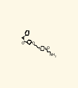 NCCC(=O)N1CCN(CCCOc2ccc(C(=O)[C@@H]3C[C@H]3c3ccccc3)cc2)CC1